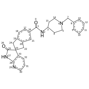 O=C(NC1CCN(Cc2ccccc2)CC1)c1ccc2c(c1)CC1(C2)C(=O)Nc2ncccc21